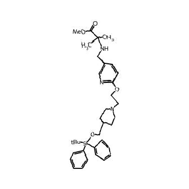 COC(=O)C(C)(C)NCc1ccc(OCCN2CCC(CO[Si](c3ccccc3)(c3ccccc3)C(C)(C)C)CC2)nc1